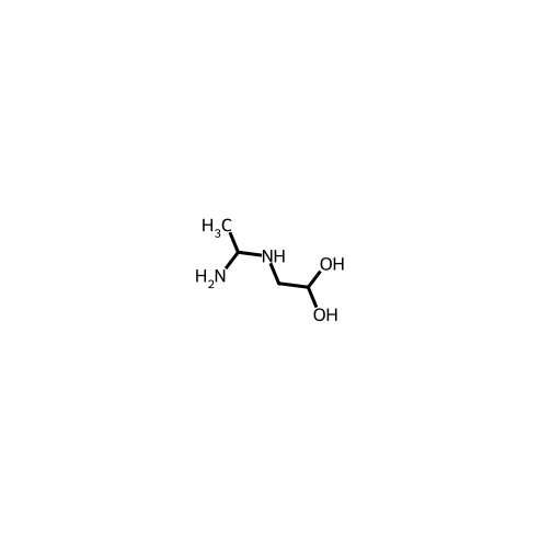 CC(N)NCC(O)O